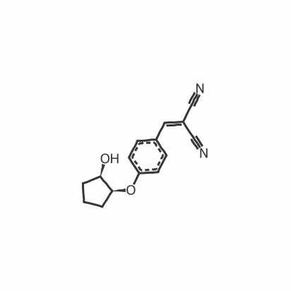 N#CC(C#N)=Cc1ccc(O[C@H]2CCC[C@H]2O)cc1